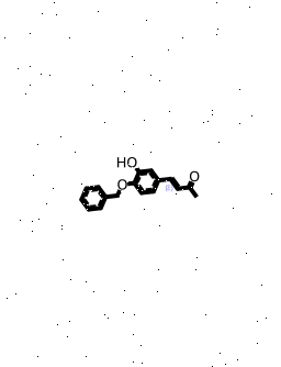 CC(=O)/C=C/c1ccc(OCc2ccccc2)c(O)c1